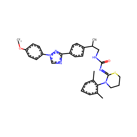 Cc1cccc(C)c1N1CCCS/C1=N\C(=O)NCC(C#N)c1ccc(-c2ncn(-c3ccc(OC(F)(F)F)cc3)n2)cc1